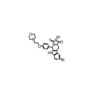 CC(C)N1C(=O)C2Cc3c([nH]c4ccc(Br)cc34)C(c3ccc(OCCN4CCOCC4)cc3)N2C1=S